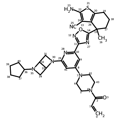 C=CC(=O)N1CCN(c2cc(-c3noc(C4(C)CCCc5sc(N)c(C#N)c54)n3)nc(N3CC4C3CN4C3CCCC3)c2)CC1